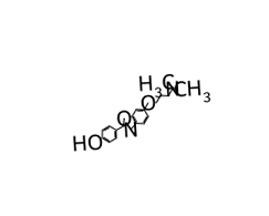 CN(C)CCCOc1ccc2nc(-c3ccc(O)cc3)oc2c1